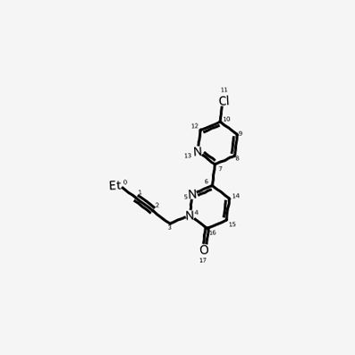 CCC#CCn1nc(-c2ccc(Cl)cn2)ccc1=O